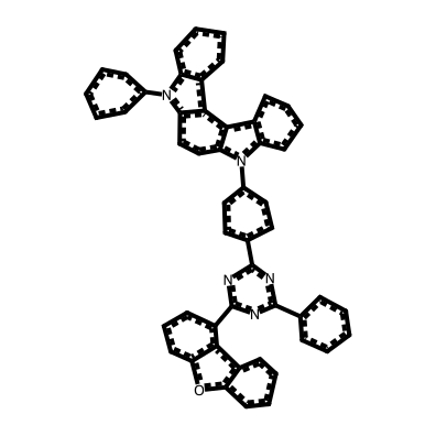 c1ccc(-c2nc(-c3ccc(-n4c5ccccc5c5c6c7ccccc7n(-c7ccccc7)c6ccc54)cc3)nc(-c3cccc4oc5ccccc5c34)n2)cc1